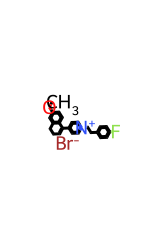 COc1ccc2c(c1)CCC=C2c1cc[n+](CCc2ccc(F)cc2)cc1.[Br-]